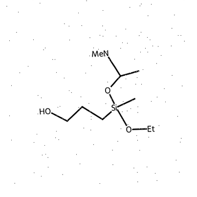 CCO[Si](C)(CCCO)OC(C)NC